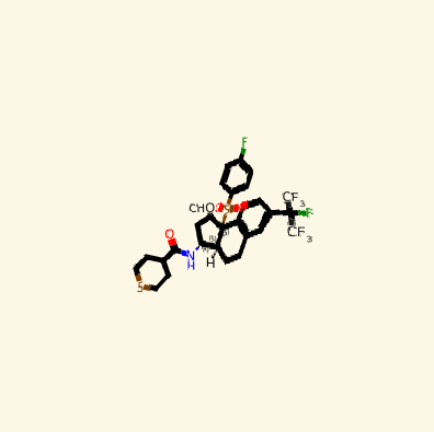 O=CC1C[C@@H](NC(=O)C2CCSCC2)[C@@H]2CCc3cc(C(F)(C(F)(F)F)C(F)(F)F)ccc3[C@@]12S(=O)(=O)c1ccc(F)cc1